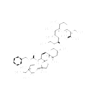 CCC(C(=O)[C@@H](C)[C@@H](O)[C@H](C)[C@@H]1O[C@@H]([C@@H](CC)C(=O)O)CC[C@@H]1C)[C@H]1O[C@]2(C=CC(NC(=O)OCc3ccccc3)[C@]3(CC[C@@](C)([C@H]4CC[C@](O)(CC)[C@H](C)O4)O3)O2)[C@H](C)C[C@@H]1C